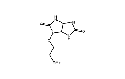 COCCON1C(=O)NC2NC(=O)NC21